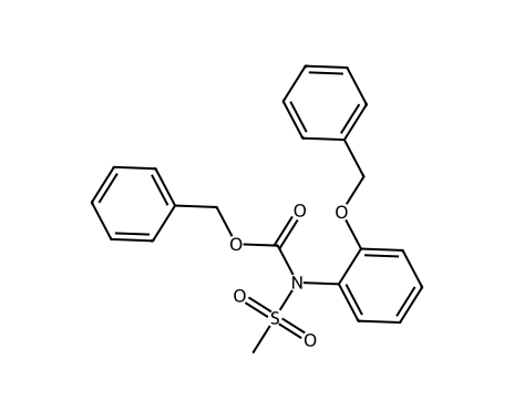 CS(=O)(=O)N(C(=O)OCc1ccccc1)c1ccccc1OCc1ccccc1